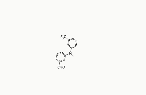 CN(c1cccc(C=O)c1)c1cccc(C(F)(F)F)c1